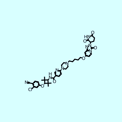 CC1(C)C(NC(=O)c2ccc(N3CCN(CCCCCOc4ccn5c(=O)n(C6CCC(=O)NC6=O)nc5c4)CC3)nc2)C(C)(C)C1Oc1ccc(C#N)c(Cl)c1